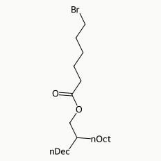 CCCCCCCCCCC(CCCCCCCC)COC(=O)CCCCCBr